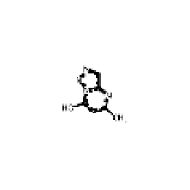 Cc1cc(O)n2nncc2n1